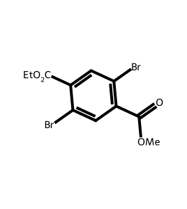 CCOC(=O)c1cc(Br)c(C(=O)OC)cc1Br